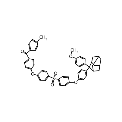 COc1ccc(C2(c3ccc(Oc4ccc(S(=O)(=O)c5ccc(Oc6ccc(C(=O)c7ccc(C)cc7)cc6)cc5)cc4)cc3)C3CC4CC(C3)CC2C4)cc1